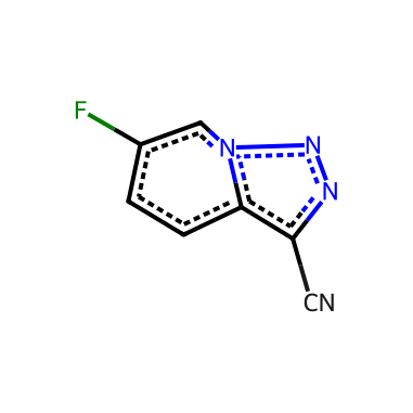 N#Cc1nnn2cc(F)ccc12